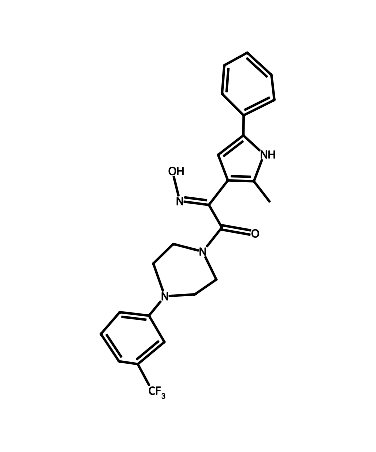 Cc1[nH]c(-c2ccccc2)cc1/C(=N\O)C(=O)N1CCN(c2cccc(C(F)(F)F)c2)CC1